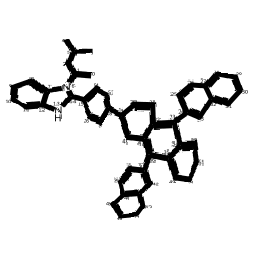 C=C(CC(C)C)N1c2ccccc2NC1c1ccc(-c2ccc3c(-c4ccc5ccccc5c4)c4c(c(-c5ccc6c(c5)CCC=C6)c3c2)=CCCC=4)cc1